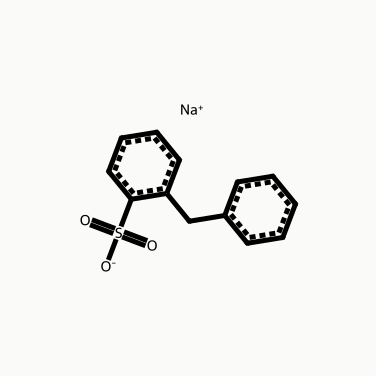 O=S(=O)([O-])c1ccccc1Cc1ccccc1.[Na+]